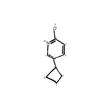 Clc1ccc(C2CCC2)cn1